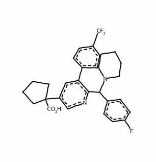 O=C(O)C1(c2cnc(C(c3ccc(F)cc3)N3CCCCC3)c(-c3ccc(C(F)(F)F)cc3)c2)CCCC1